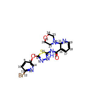 O=C(Nc1nnc(Oc2ccc(Br)nc2)s1)c1cccnc1N1CCOCC1